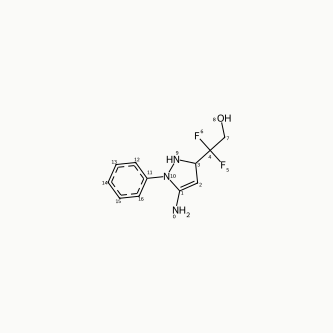 NC1=CC(C(F)(F)CO)NN1c1ccccc1